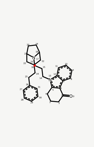 O=C1CCCc2c1c1ccccc1n2CCCN1C2CCC1CC(CCc1ccccc1)C2